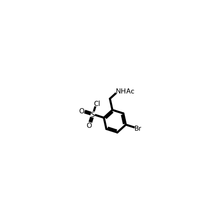 CC(=O)NCc1cc(Br)ccc1S(=O)(=O)Cl